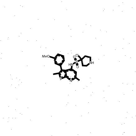 COc1cccc(-c2c(C)sc3nc(C)cc(NS(=O)(=O)C4(Cl)CCNCC4)c23)c1